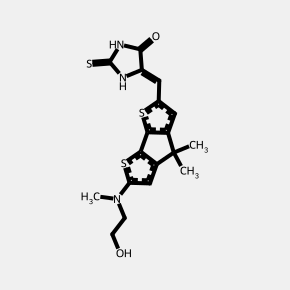 CN(CCO)c1cc2c(s1)-c1sc(/C=C3\NC(=S)NC3=O)cc1C2(C)C